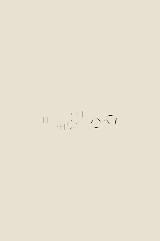 O=C(O)[C@H]1NC[C@@H](OCc2ccc(-c3ccccc3)cc2)[C@@H]1O